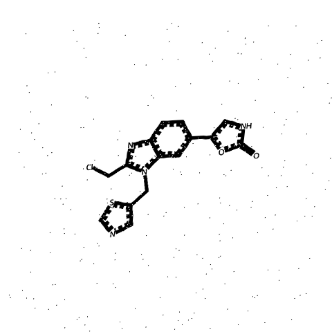 O=c1[nH]cc(-c2ccc3nc(CCl)n(Cc4cncs4)c3c2)o1